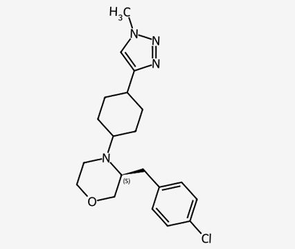 Cn1cc(C2CCC(N3CCOC[C@@H]3Cc3ccc(Cl)cc3)CC2)nn1